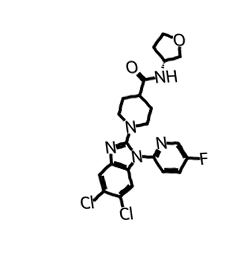 O=C(N[C@@H]1CCOC1)C1CCN(c2nc3cc(Cl)c(Cl)cc3n2-c2ccc(F)cn2)CC1